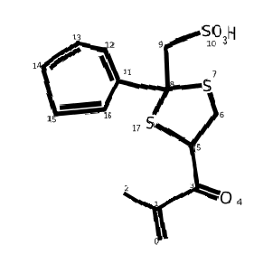 C=C(C)C(=O)C1CSC(CS(=O)(=O)O)(c2ccccc2)S1